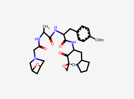 COc1ccc(CC(NC(=O)C(C)NC(=O)CN2CC3CC(C2)O3)C(=O)NC(CC2CCCC2)C(=O)[C@@]2(C)CO2)cc1